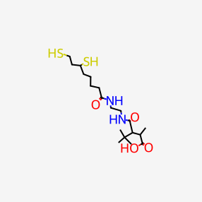 CC(C(=O)O)C(C(=O)NCCNC(=O)CCCCC(S)CCS)C(C)(C)C